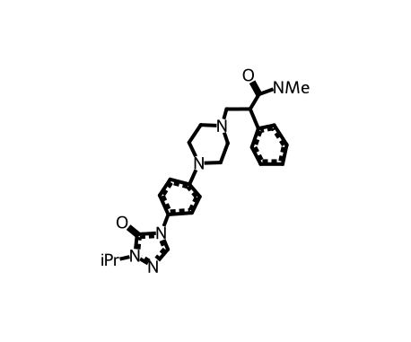 CNC(=O)C(CN1CCN(c2ccc(-n3cnn(C(C)C)c3=O)cc2)CC1)c1ccccc1